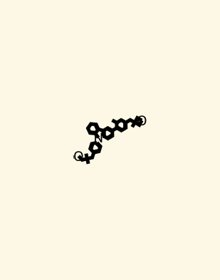 COCC(C)(C)Cc1ccc(-n2c3c(c4cc(C5=CC=C(CC6(C)COC6)CC5C)ccc42)=CCCC=3)cc1